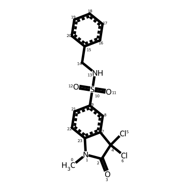 CN1C(=O)C(Cl)(Cl)c2cc(S(=O)(=O)NCc3ccccc3)ccc21